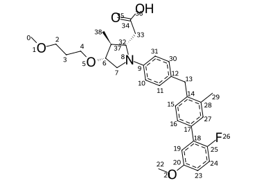 COCCCO[C@H]1CN(c2ccc(Cc3ccc(-c4cc(OC)ccc4F)cc3C)cc2)[C@@H](CC(=O)O)[C@@H]1C